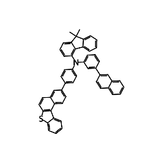 CC1(C)c2ccccc2-c2c(N(c3ccc(-c4ccc5c(ccc6sc7ccccc7c65)c4)cc3)c3cccc(-c4ccc5ccccc5c4)c3)cccc21